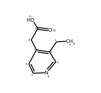 CCc1cnccc1CC(=O)O